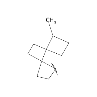 CC1CCC12CCC21CCC12CC2